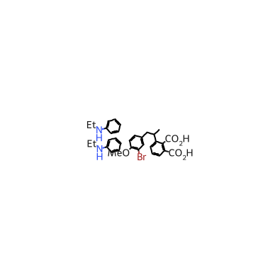 CCNc1ccccc1.CCNc1ccccc1.COc1ccc(CC(C)c2cccc(C(=O)O)c2C(=O)O)cc1Br